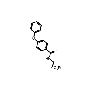 CCOC(=O)CNC(=O)c1ccc(Oc2ccccc2)cc1